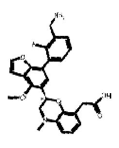 COc1c([C@@H]2CN(C)c3cccc(CC(=O)O)c3O2)cc(-c2cccc(CN)c2F)c2occc12